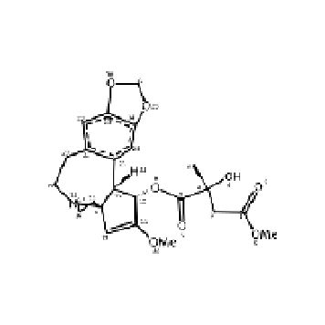 COC(=O)C[C@@](C)(O)C(=O)O[C@@H]1C(OC)=C[C@]23CCCN2CCc2cc4c(cc2[C@H]13)OCO4